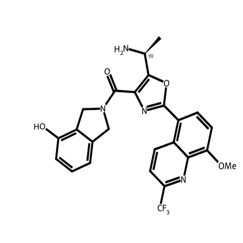 COc1ccc(-c2nc(C(=O)N3Cc4cccc(O)c4C3)c([C@H](C)N)o2)c2ccc(C(F)(F)F)nc12